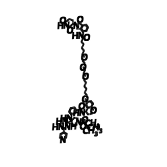 CC(C)(C)OC(=O)N1CCC(Nc2cccc(C(=O)N[C@@H]3CCOc4ccc(OCCCCCCOCCOCCOCCCCCC(=O)Nc5cccc6c5CN(C5CCC(=O)NC5=O)C6=O)cc43)c2)(C(=N)NC(=N)c2ccncc2)CC1